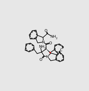 NC(=O)C1c2ccccc2CN1C(=O)[C@@H](Cc1ccccc1)C(N)(Cc1ccccc1)C(=O)N1Cc2ccccc2C1